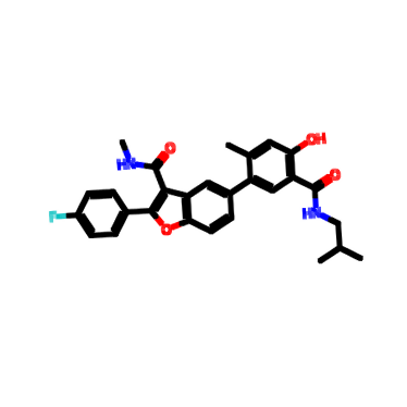 CNC(=O)c1c(-c2ccc(F)cc2)oc2ccc(-c3cc(C(=O)NCC(C)C)c(O)cc3C)cc12